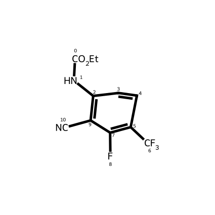 CCOC(=O)Nc1ccc(C(F)(F)F)c(F)c1C#N